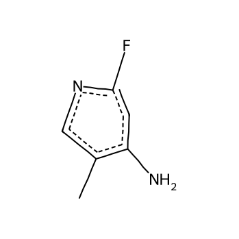 Cc1cnc(F)cc1N